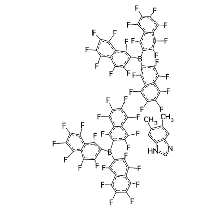 Cc1cc2nc[nH]c2cc1C.Fc1c(F)c(F)c2c(F)c(B(c3c(F)c(F)c4c(F)c(F)c(F)c(F)c4c3F)c3c(F)c(F)c4c(F)c(F)c(F)c(F)c4c3F)c(F)c(F)c2c1F.Fc1c(F)c(F)c2c(F)c(B(c3c(F)c(F)c4c(F)c(F)c(F)c(F)c4c3F)c3c(F)c(F)c4c(F)c(F)c(F)c(F)c4c3F)c(F)c(F)c2c1F